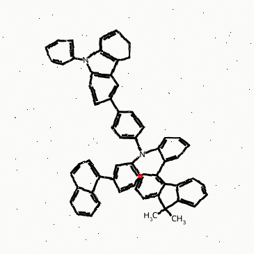 CC1(C)c2ccccc2-c2c(-c3ccccc3N(c3ccc(-c4ccc5c(c4)c4c(n5-c5ccccc5)C=CCC4)cc3)c3cccc(-c4cccc5ccccc45)c3)cccc21